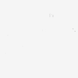 Brc1cnccc1OCCC12CC3CC(CC(C3)C1)C2